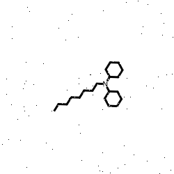 [CH2]CCCCCCCN(C1CCCCC1)C1CCCCC1